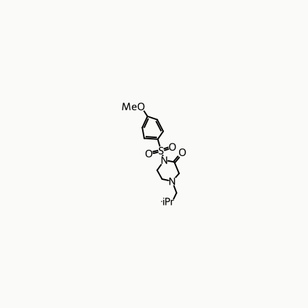 COc1ccc(S(=O)(=O)N2CCN(C[C](C)C)CC2=O)cc1